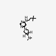 CN(C)[C@@H]1[C@@H]2CN(c3cc(NCCC(C)(C)C)ncn3)C[C@@H]21